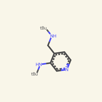 CC(C)(C)NCc1ccncc1NC(C)(C)C